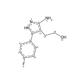 Nc1n[nH]c(-c2ccc(F)cc2)c1CCO